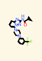 O=C(Nc1nc2cccc(N3CCN(c4cccc(C(F)(F)F)c4)CC3)n2n1)C1CC1